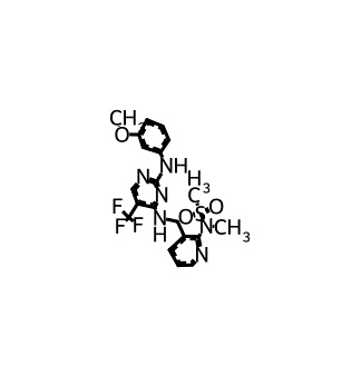 COc1cccc(Nc2ncc(C(F)(F)F)c(NCc3cccnc3N(C)S(C)(=O)=O)n2)c1